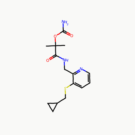 CC(C)(OC(N)=O)C(=O)NCc1ncccc1SCC1CC1